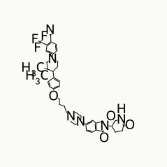 CC1(C)CN(c2ccc(C#N)c(C(F)(F)F)c2)CCC1c1ccc(OCCCCN2CCN(c3ccc4c(c3)CN(C3CCC(=O)NC3=O)C4=O)CC2)cc1